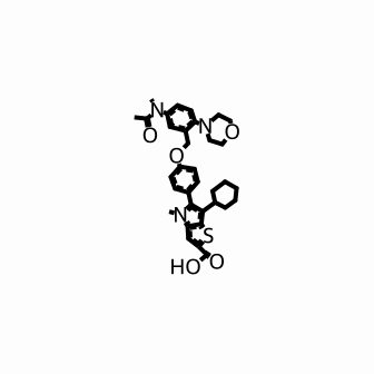 CC(=O)N(C)c1ccc(N2CCOCC2)c(COc2ccc(-c3c(C4CCCCC4)c4sc(C(=O)O)cc4n3C)cc2)c1